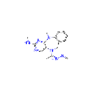 C=N/N=C(/C)N1Cc2ccccc2N(C)c2nc(NC)ncc21